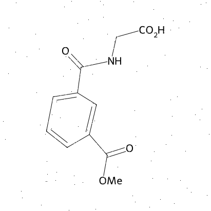 COC(=O)c1cccc(C(=O)NCC(=O)O)c1